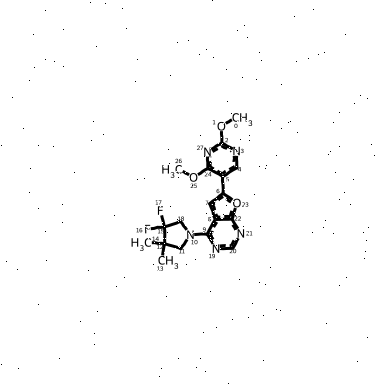 COc1ncc(-c2cc3c(N4CC(C)(C)C(F)(F)C4)ncnc3o2)c(OC)n1